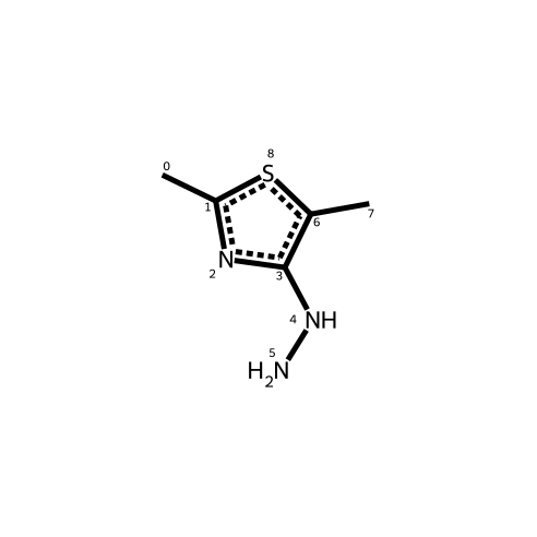 Cc1nc(NN)c(C)s1